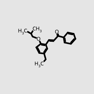 CCc1ccc(OCC(C)C)c(C=CC(=O)c2ccccc2)c1